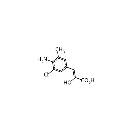 Cc1cc(/C=C(\O)C(=O)O)cc(Cl)c1N